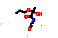 CCCOC(C)(O)C(=O)N=C=O